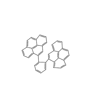 c1ccc(-c2cc3cccc4ccc5cccc2c5c43)c(-c2cc3cccc4ccc5cccc2c5c43)c1